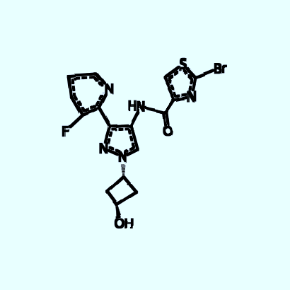 O=C(Nc1cn([C@H]2C[C@H](O)C2)nc1-c1ncccc1F)c1csc(Br)n1